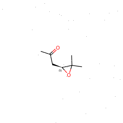 CC(=O)C[C@@H]1OC1(C)C